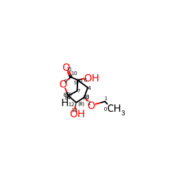 CCO[C@@H]1C[C@]2(O)C[C@@H](OC2=O)[C@@H]1O